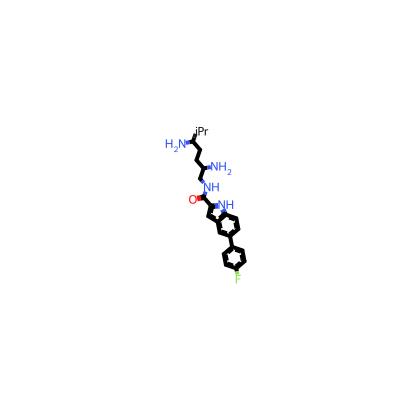 CC(C)C(N)CCC(N)CNC(=O)c1cc2cc(-c3ccc(F)cc3)ccc2[nH]1